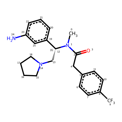 CN(C(=O)Cc1ccc(C(F)(F)F)cc1)[C@H](CN1CCCC1)c1cccc(N)c1